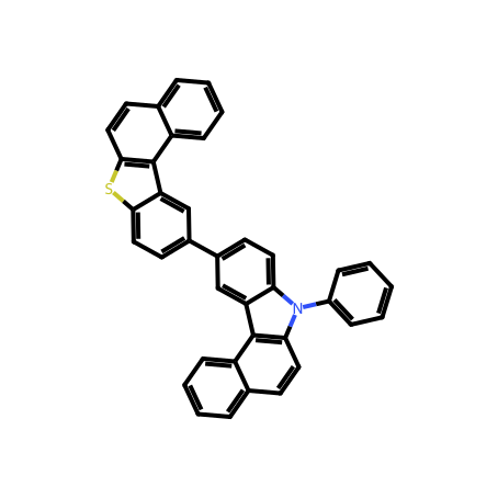 c1ccc(-n2c3ccc(-c4ccc5sc6ccc7ccccc7c6c5c4)cc3c3c4ccccc4ccc32)cc1